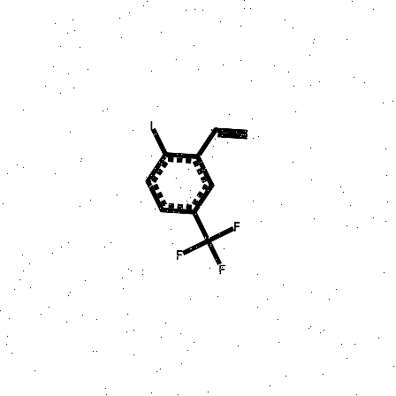 C=[C]c1cc(C(F)(F)F)ccc1I